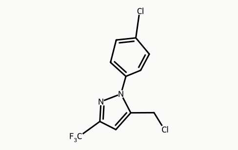 FC(F)(F)c1cc(CCl)n(-c2ccc(Cl)cc2)n1